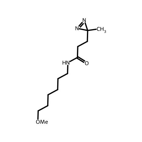 COCCCCCCNC(=O)CCC1(C)N=N1